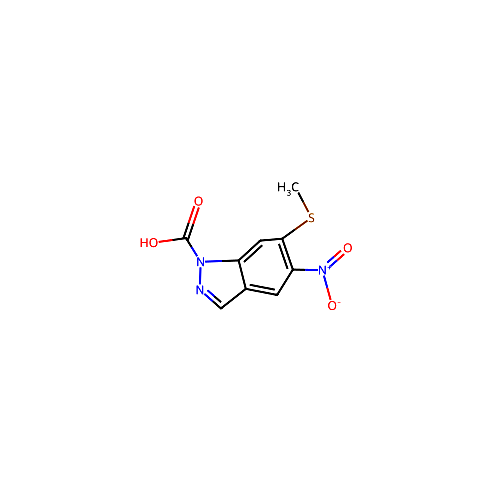 CSc1cc2c(cnn2C(=O)O)cc1[N+](=O)[O-]